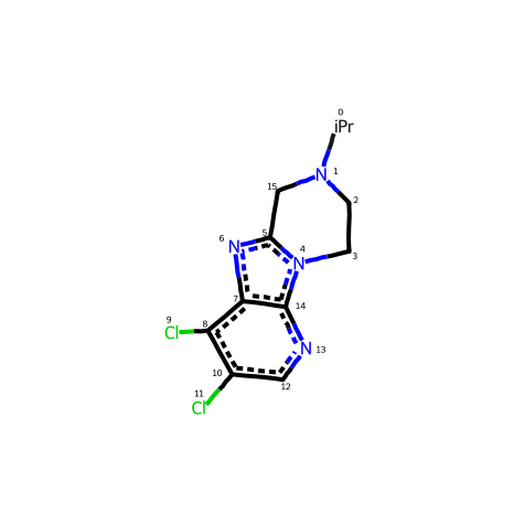 CC(C)N1CCn2c(nc3c(Cl)c(Cl)cnc32)C1